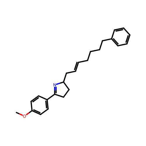 COc1ccc(C2=NC(CC=CCCCCc3ccccc3)CC2)cc1